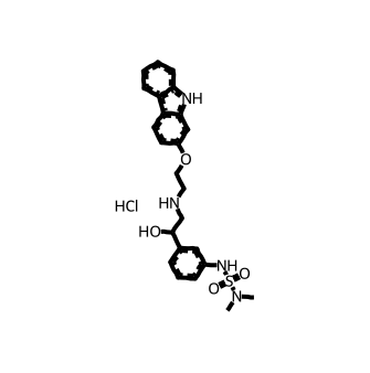 CN(C)S(=O)(=O)Nc1cccc(C(O)CNCCOc2ccc3c(c2)[nH]c2ccccc23)c1.Cl